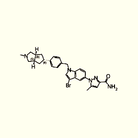 Cc1cc(C(N)=O)nn1-c1ccc2c(c1)c(Br)cn2Cc1ccc([C@@H]2C[C@@H]3CN(C)C[C@@H]3C2)cc1